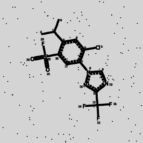 CC(C)c1cc(Cl)c(-n2cnc(C(F)(F)F)n2)cc1S(=O)(=O)F